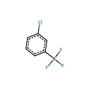 F[B-](F)(F)c1cccc(Cl)c1